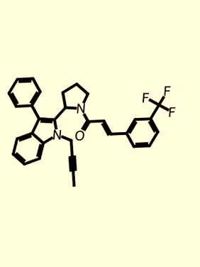 CC#CCn1c(C2CCCN2C(=O)C=Cc2cccc(C(F)(F)F)c2)c(-c2ccccc2)c2ccccc21